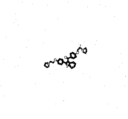 C[C@@H](COc1ccc(C(=O)c2c(-c3ccc(OCCN4CCCC4)cc3)sc3ccccc23)cc1)N1CCCC1